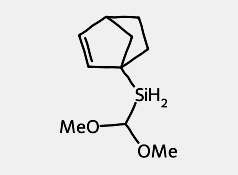 COC(OC)[SiH2]C12C=CC(CC1)C2